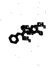 CN1CC(C#N)(NC(=O)C(N)CC2CCCCC2)CC1=O